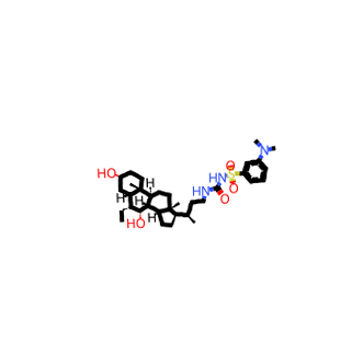 CC[C@H]1[C@@H](O)[C@@H]2[C@H](CC[C@]3(C)[C@@H]([C@H](C)CCNC(=O)NS(=O)(=O)c4cccc(N(C)C)c4)CC[C@@H]23)[C@@]2(C)CC[C@@H](O)C[C@@H]12